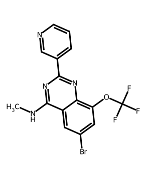 CNc1nc(-c2cccnc2)nc2c(OC(F)(F)F)cc(Br)cc12